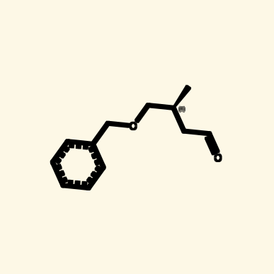 C[C@@H](CC=O)COCc1ccccc1